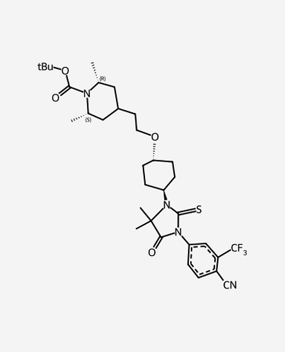 C[C@@H]1CC(CCO[C@H]2CC[C@H](N3C(=S)N(c4ccc(C#N)c(C(F)(F)F)c4)C(=O)C3(C)C)CC2)C[C@H](C)N1C(=O)OC(C)(C)C